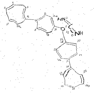 N=C=N.c1ccc(-c2ccc(Oc3ccc(-c4ccccc4)cc3)cc2)cc1